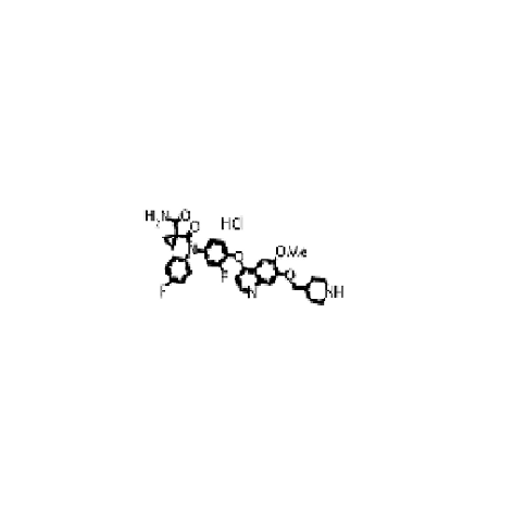 COc1cc2c(Oc3ccc(N(C(=O)C4(C(N)=O)CC4)c4ccc(F)cc4)cc3F)ccnc2cc1OCC1CCNCC1.Cl